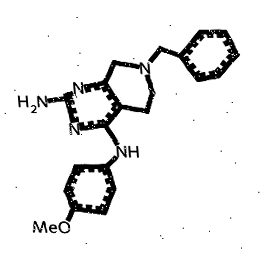 COc1ccc(Nc2nc(N)nc3c2CCN(Cc2ccccc2)C3)cc1